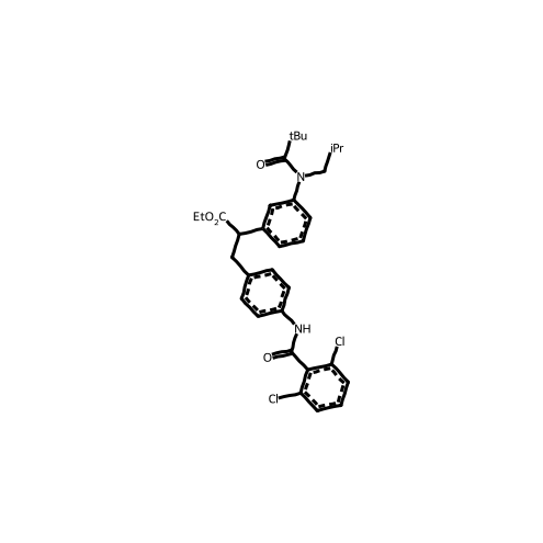 CCOC(=O)C(Cc1ccc(NC(=O)c2c(Cl)cccc2Cl)cc1)c1cccc(N(CC(C)C)C(=O)C(C)(C)C)c1